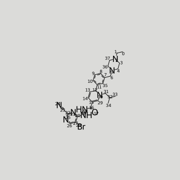 CCN1CCN(Cc2cccc(C3C=CC(C(=O)NNc4nc(C#N)ncc4Br)=CN3CC(C)C)c2)CC1